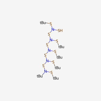 CC(C)(C)SN(S)SN(SN(SN(SN(SC(C)(C)C)C(C)(C)C)SC(C)(C)C)SC(C)(C)C)SC(C)(C)C